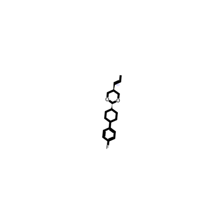 C/C=C/[C@H]1CO[C@H](C2CCC(c3ccc(F)cc3)CC2)OC1